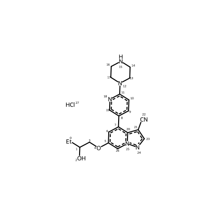 CCC(O)COc1cc(-c2ccc(N3CCNCC3)nc2)c2c(C#N)cnn2c1.Cl